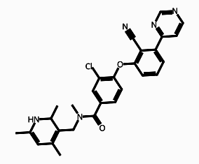 CC1=CC(C)=C(CN(C)C(=O)c2ccc(Oc3cccc(-c4ccncn4)c3C#N)c(Cl)c2)C(C)N1